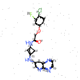 O=C(COc1ccc(Cl)c(F)c1)NC12CC(Nc3cnc4nccnc4c3)(C1)C2